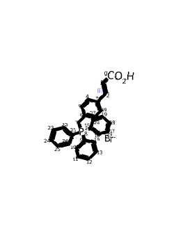 O=C(O)/C=C/c1ccc(C[P+](c2ccccc2)(c2ccccc2)c2ccccc2)cc1.[Br-]